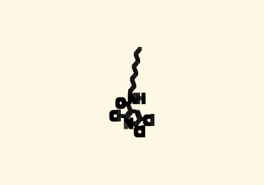 CCCCCCCCNC(=O)c1cc(Cl)c(Cl)nc1Cl